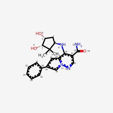 CC1(C)[C@H](O)[C@H](O)C[C@H]1Nc1c(C(N)=O)cnn2cc(-c3ccccc3)cc12